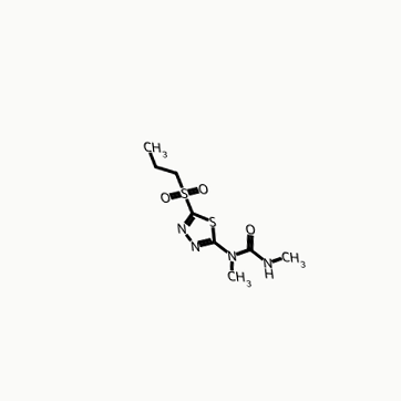 CCCS(=O)(=O)c1nnc(N(C)C(=O)NC)s1